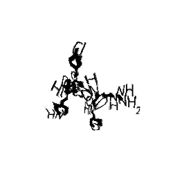 CS(=O)(=O)N[C@H](CCC1CCNCC1)C(=O)N1C[C@H](OCc2ccc(Cl)cc2)C[C@H]1C(=O)N[C@@H](CCCNC(=N)N)C(=O)C(=O)NCC1CCOCC1